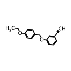 C#Cc1cccc(OCc2ccc(OCC)cc2)c1